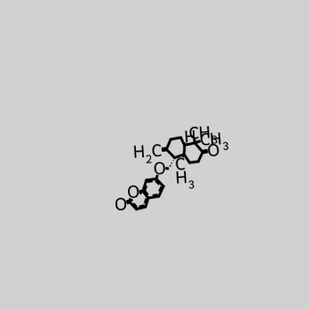 C=C1CC[C@@H]2C(C)(C)C(=O)CC[C@@]2(C)[C@@H]1COc1ccc2ccc(=O)oc2c1